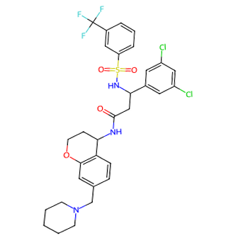 O=C(CC(NS(=O)(=O)c1cccc(C(F)(F)F)c1)c1cc(Cl)cc(Cl)c1)NC1CCOc2cc(CN3CCCCC3)ccc21